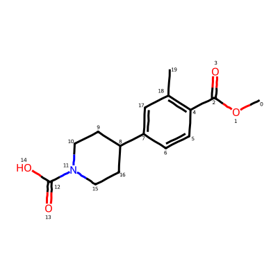 COC(=O)c1ccc(C2CCN(C(=O)O)CC2)cc1C